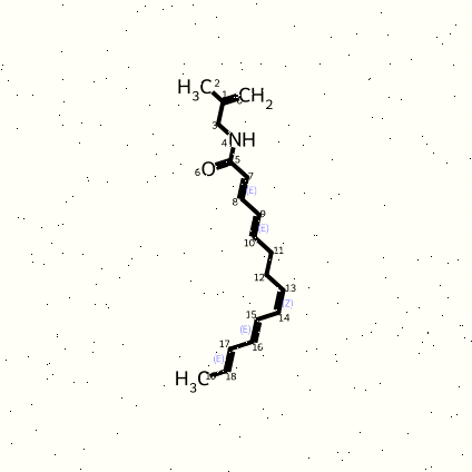 C=C(C)CNC(=O)/C=C/C=C/CC\C=C/C=C/C=C/C